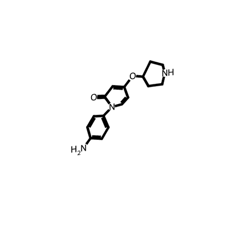 Nc1ccc(-n2ccc(OC3CCNCC3)cc2=O)cc1